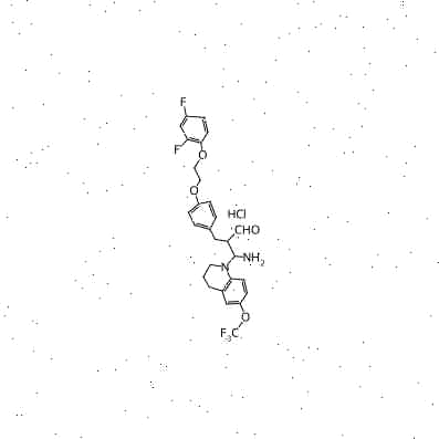 Cl.NC(C(C=O)Cc1ccc(OCCOc2ccc(F)cc2F)cc1)N1CCCc2cc(OC(F)(F)F)ccc21